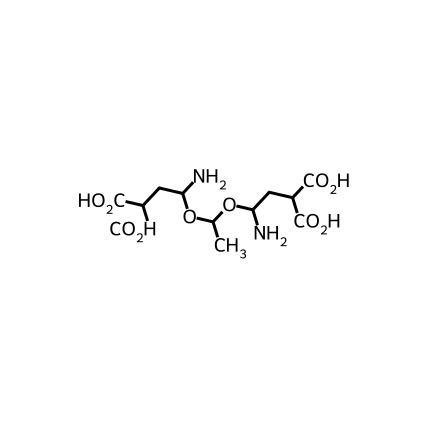 CC(OC(N)CC(C(=O)O)C(=O)O)OC(N)CC(C(=O)O)C(=O)O